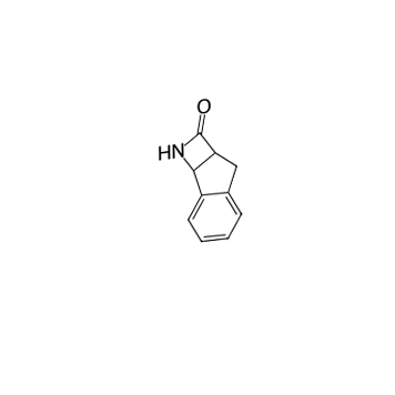 O=C1NC2c3ccccc3CC12